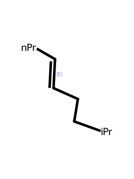 CCC/C=C/CCC(C)C